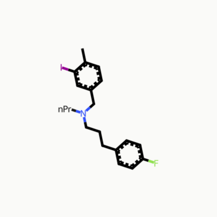 CCCN(CCCc1ccc(F)cc1)Cc1ccc(C)c(I)c1